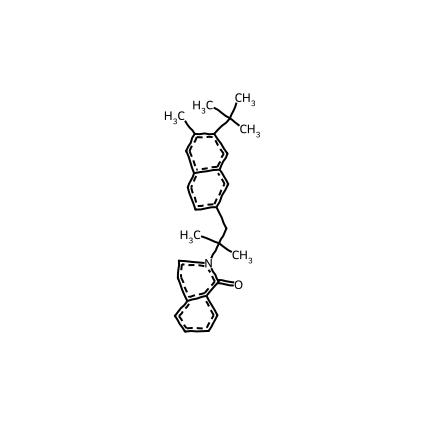 Cc1cc2ccc(CC(C)(C)n3ccc4ccccc4c3=O)cc2cc1C(C)(C)C